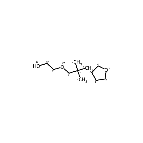 C1CCOC1.CC(C)(C)COCCO